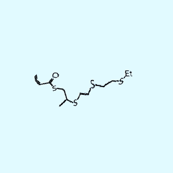 C=CC(=O)SCC(C)SCCSCCSCC